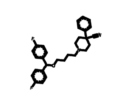 N#CC1(c2ccccc2)CCN(CCCCOC(c2ccc(F)cc2)c2ccc(F)cc2)CC1